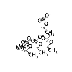 CCOC(=O)[O-].CCOC(=O)[O-].CCOC(=O)[O-].CCOC(=O)[O-].[Mg+2].[Mg+2]